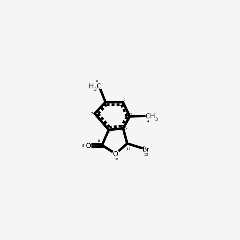 Cc1cc(C)c2c(c1)C(=O)OC2Br